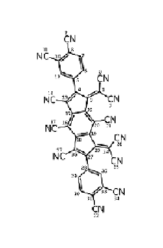 N#CC(C#N)=C1C(c2ccc(C#N)c(C#N)c2)=C(C#N)c2c(C#N)c3c(c(C#N)c21)C(=C(C#N)C#N)C(c1ccc(C#N)c(C#N)c1)=C3C#N